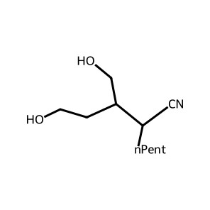 CCCCCC(C#N)C(CO)CCO